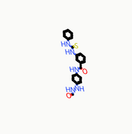 O=CNNc1ccc(NC(=O)c2cccc(NC(=S)Nc3ccccc3)c2)cc1